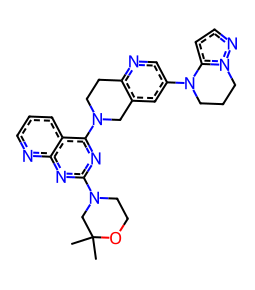 CC1(C)CN(c2nc(N3CCc4ncc(N5CCCn6nccc65)cc4C3)c3cccnc3n2)CCO1